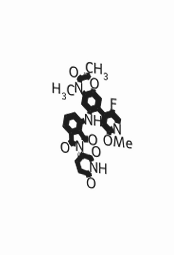 COc1cc(-c2cc3c(cc2Nc2cccc4c2C(=O)N([C@H]2CCC(=O)NC2=O)C4=O)N(C)C(=O)[C@@H](C)O3)c(F)cn1